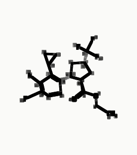 CCOC(=O)[C@@H]1C[C@@H](C(F)(F)F)C[C@H]1c1ccc(F)c(F)c1C1CC1